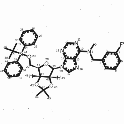 CN(Cc1cccc(F)c1)c1ncnc2c1ncn2[C@@H]1O[C@H](CO[Si](c2ccccc2)(c2ccccc2)C(C)(C)C)[C@H]2OC(C)(C)O[C@H]21